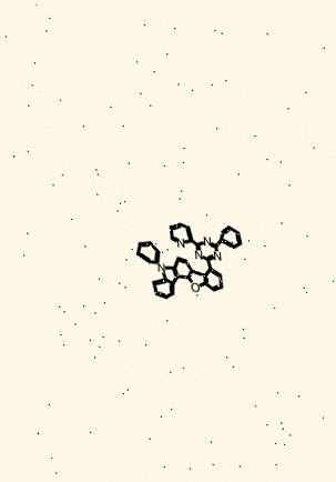 C1=CC2c3c(cccc3-c3nc(-c4ccccc4)nc(-c4ccccn4)n3)OC2c2c1n(-c1ccccc1)c1ccccc21